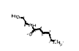 [CH2]CCC[CH]C(=O)NCCO